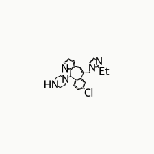 CCc1nccn1CC1=Cc2cccnc2C(N2CCNCC2)c2ccc(Cl)cc21